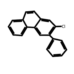 Clc1cc2ccc3ccccc3c2cc1-c1ccccc1